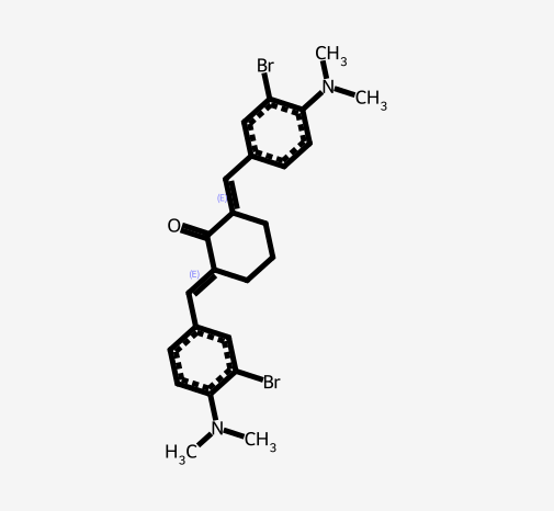 CN(C)c1ccc(/C=C2\CCC/C(=C\c3ccc(N(C)C)c(Br)c3)C2=O)cc1Br